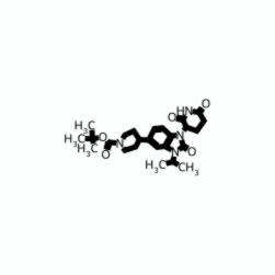 CC(C)n1c(=O)n(C2CCC(=O)NC2=O)c2ccc(C3CCN(C(=O)OC(C)(C)C)CC3)cc21